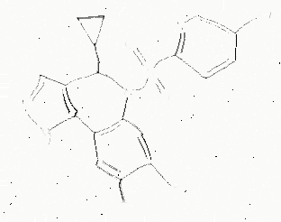 O=S(=O)(c1ccc(Cl)cn1)N1c2cc(F)c(F)cc2-c2[nH]ncc2C1C1CC1